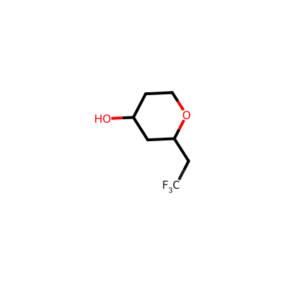 OC1CCOC(CC(F)(F)F)C1